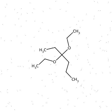 CCCC(CC)(OCC)OCC